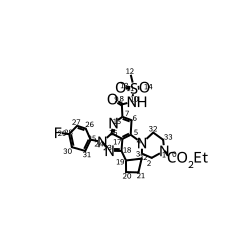 CCOC(=O)N1CCN(c2cc(C(=O)NS(C)(=O)=O)nc3c2c(C2CCC2)nn3-c2ccc(F)cc2)CC1